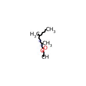 C#CCOC(=O)/C=C(C)/C=C/CC(C)CCCCC